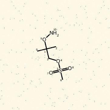 CC(C)(COS(C)(=O)=O)ON